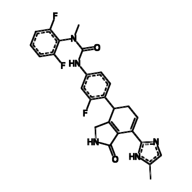 Cc1cnc(C2=CCC(c3ccc(NC(=O)N(C)c4c(F)cccc4F)cc3F)C3=C2C(=O)NC3)[nH]1